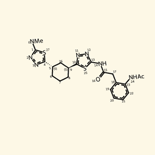 CNc1nnc([C@H]2CCC[C@H](c3nnc(NC(=O)Cc4ccccc4NC(C)=O)s3)C2)s1